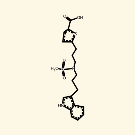 CS(=O)(=O)N(CCCc1ccc(C(=O)O)s1)CCCc1c[nH]c2ccccc12